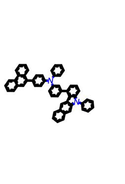 c1ccc(N(c2ccc(-c3cc4ccccc4c4ccccc34)cc2)c2cccc(-c3cccc4c3c3cc5ccccc5cc3n4-c3ccccc3)c2)cc1